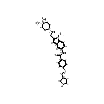 Cn1c(CN[C@H]2CC[C@](C)(O)CC2)cc2cc(NC(=O)c3ccc(OCC4CCOC4)cc3)ccc21